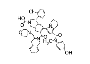 CN(C(=O)c1cc(-c2cc3c(cc2C(=O)N2Cc4ccccc4C[C@H]2CN2CCOCC2)CN(C(=O)O)CC3c2ccccc2Cl)n2c1CCCC2)c1ccc(O)cc1